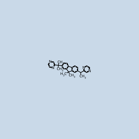 CC(c1ccc2c(c1)C(C)(C)c1cc(C(C)(C)c3cnccn3)ccc1-2)c1cnccn1